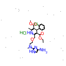 CCOC(=O)C1=C(COCCN(C)c2nc(N)c[nH]2)NC(C)=C(C(=O)OC)C1c1ccccc1Cl.Cl